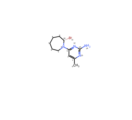 Cc1cc(N2CCCCC[C@@H]2Br)nc(N)n1